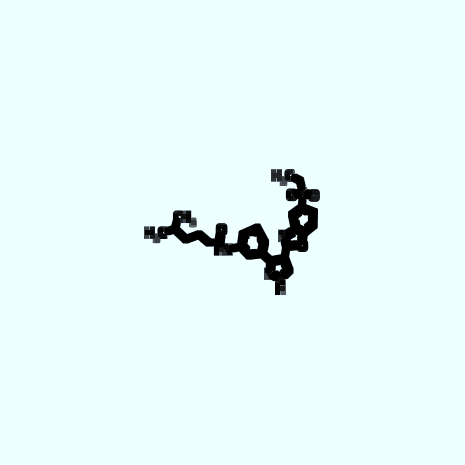 CCS(=O)(=O)c1ccc2oc(-c3c[nH]nc3-c3cccc(NC(=O)CCCC(C)C)c3)nc2c1